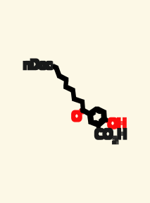 CCCCCCCCCCCCCCCCCC(=O)c1ccc(O)c(C(=O)O)c1